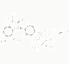 C=CCCCN1c2ccc(NC(=O)C3(c4ccc(O)c(O)c4)CC3)cc2CC1C(C)(C)C